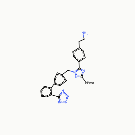 CCCCCc1nc(-c2ccc(CCN)cc2)n(Cc2ccc(-c3ccccc3-c3nnn[nH]3)cc2)n1